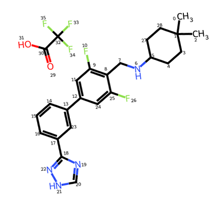 CC1(C)CCC(NCc2c(F)cc(-c3cccc(-c4nc[nH]n4)c3)cc2F)CC1.O=C(O)C(F)(F)F